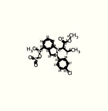 CCC(C(=O)OC)N1c2cccc(N(C)O[SH](=O)=O)c2CN1c1ccc(Cl)cc1